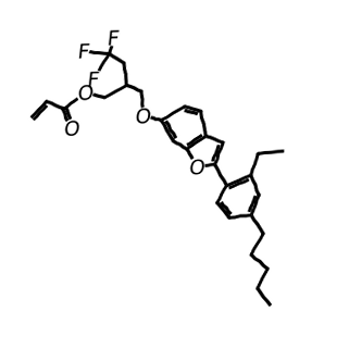 C=CC(=O)OCC(COc1ccc2cc(-c3ccc(CCCCC)cc3CC)oc2c1)CC(F)(F)F